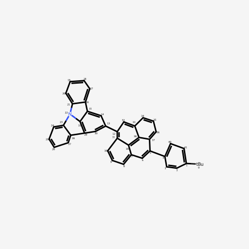 CC(C)(C)c1ccc(-c2cc3cccc4c(-c5cc6c7ccccc7n7c8ccccc8c(c5)c67)cc5cccc2c5c34)cc1